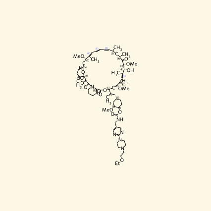 CCOCCN1CCN(c2ncc(CNC(=O)O[C@@H]3CC[C@@H](C[C@@H](C)[C@@H]4C[C@@H](OC)[C@H](C)/C=C(\C)[C@@H](O)[C@@H](OC)C(=O)[C@H](C)C[C@H](C)/C=C/C=C/C=C(\C)[C@@H](OC)C[C@@H]5CC[C@@H](C)[C@@](O)(O5)C(=O)C(=O)N5CCCC[C@H]5C(=O)O4)C[C@H]3OC)cn2)CC1